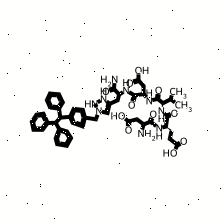 CC(C)[C@H](NC(=O)[C@H](CCC(=O)O)NC(=O)C(N)CC(=O)O)C(=O)NC(CC(=O)O)C(=O)NC(CC1=CN(Cc2ccc(C(c3ccccc3)C(c3ccccc3)c3ccccc3)cc2)NN1)C(N)=O